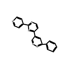 c1ccc(-c2cc(-c3ccnc(-c4ccncc4)n3)cnn2)cc1